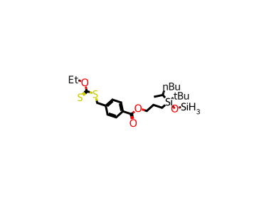 CCCCC(C)[Si](CCCOC(=O)c1ccc(CSC(=S)OCC)cc1)(O[SiH3])C(C)(C)C